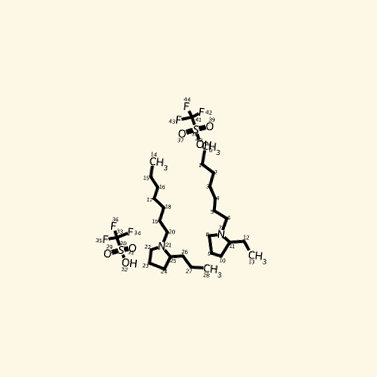 CCCCCCCN1CCCC1CC.CCCCCCCN1CCCC1CCC.O=S(=O)(O)C(F)(F)F.O=S(=O)(O)C(F)(F)F